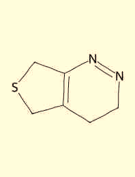 C1CC2=C(CSC2)N=N1